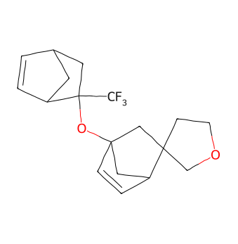 FC(F)(F)C1(OC23C=CC(C2)C2(CCOC2)C3)CC2C=CC1C2